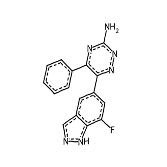 Nc1nnc(-c2cc(F)c3[nH]ncc3c2)c(-c2ccccc2)n1